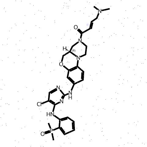 CN(C)C/C=C/C(=O)N1CCN2c3ccc(Nc4ncc(Cl)c(Nc5ccccc5P(C)(C)=O)n4)cc3OC[C@H]2C1